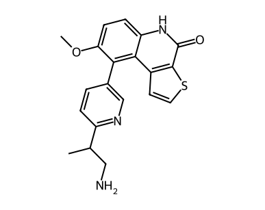 COc1ccc2[nH]c(=O)c3sccc3c2c1-c1ccc(C(C)CN)nc1